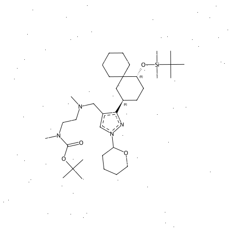 CN(CCN(C)C(=O)OC(C)(C)C)Cc1cn(C2CCCCO2)nc1[C@@H]1CC[C@@H](O[Si](C)(C)C(C)(C)C)C2(CCCCC2)C1